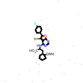 COc1ccccc1CC(Nc1ncnc2oc(-c3ccc(F)cc3)c(Br)c12)C(=O)O